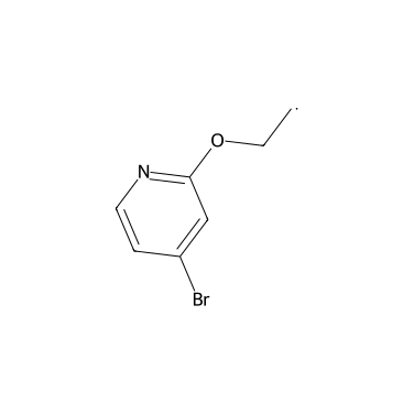 [CH2]COc1cc(Br)ccn1